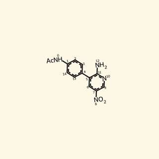 CC(=O)Nc1ccc(-c2cc([N+](=O)[O-])cnc2N)cc1